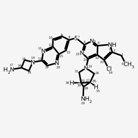 CCc1[nH]c2nc(Sc3ccc4nc(N5CC(N)C5)cnc4c3)nc(N3C[C@@H]4C(N)[C@@H]4C3)c2c1Cl